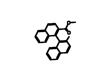 COC(=O)c1ccc2ccccc2c1-c1c(C)ccc2ccccc12